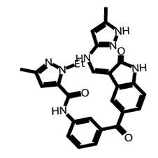 CCn1nc(C)cc1C(=O)Nc1cccc(C(=O)c2ccc3c(c2)C(=CNc2cc(C)[nH]n2)C(=O)N3)c1